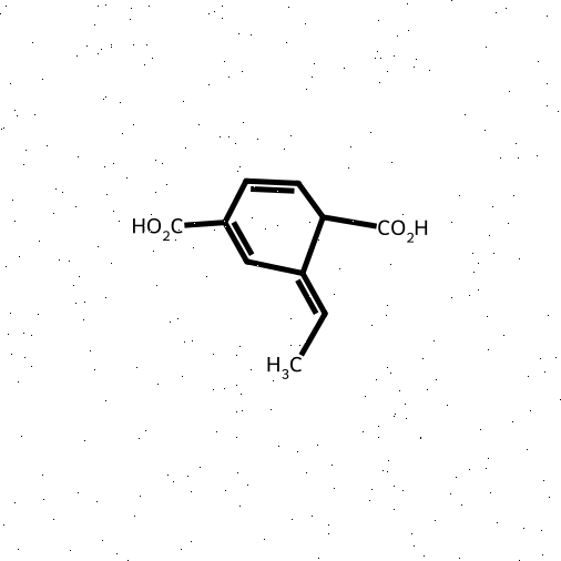 CC=C1C=C(C(=O)O)C=CC1C(=O)O